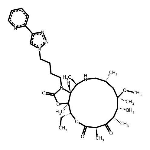 B[C@@H]1[C@H](C)C(=O)[C@@H](C)C(=O)O[C@H](CC)[C@@]2(C)OC(=O)N(CCCCn3cc(-c4ccccn4)nn3)[C@@H]2[C@@H](C)NC[C@H](C)C[C@@]1(C)OC